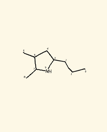 CCCC1CC(C)C(C)N1